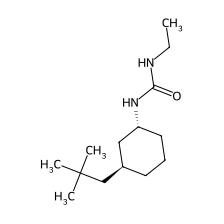 CCNC(=O)N[C@@H]1CCC[C@@H](CC(C)(C)C)C1